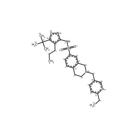 CCCc1c(NS(=O)(=O)c2ccc3c(c2)CN(Cc2ccc(CC)nc2)CC3)noc1C(C)(C)C